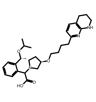 CC(C)O[C@H](C)c1ccccc1C(C(=O)O)N1CC[C@@H](OCCCCc2ccc3c(n2)NCCC3)C1